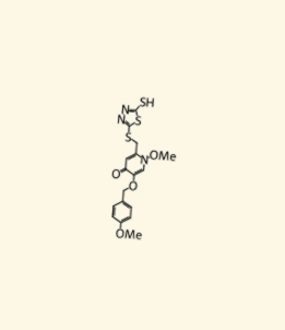 COc1ccc(COc2cn(OC)c(CSc3nnc(S)s3)cc2=O)cc1